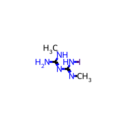 C/N=C(/N=C(/N)NC)NI